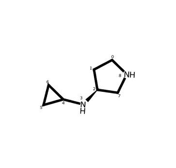 C1C[C@H](NC2CC2)CN1